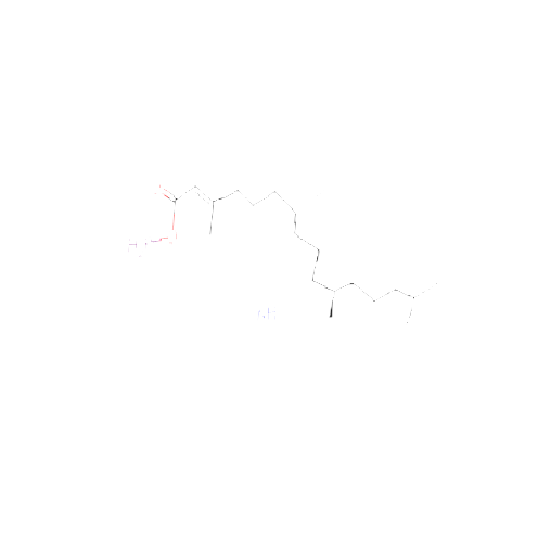 C/C(=C\C(=O)OP)CCC[C@H](C)CCC[C@H](C)CCCC(C)C.N